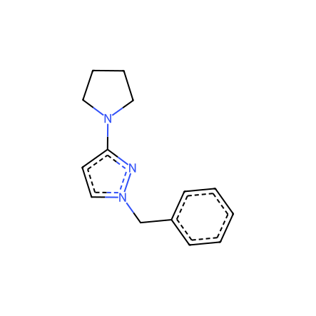 c1ccc(Cn2ccc(N3CCCC3)n2)cc1